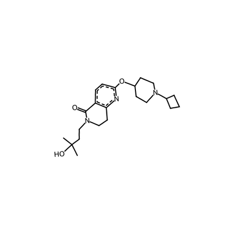 CC(C)(O)CCN1CCc2nc(OC3CCN(C4CCC4)CC3)ccc2C1=O